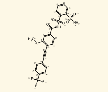 COc1cc(C(=O)NS(=O)(=O)c2ccccc2S(N)(=O)=O)ccc1C#Cc1ccc(C(F)(F)F)cc1